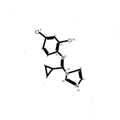 Clc1ccc(/N=C(\C2CC2)n2ccnc2)c(Cl)c1